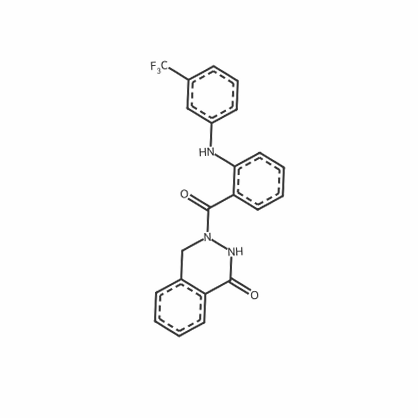 O=C1NN(C(=O)c2ccccc2Nc2cccc(C(F)(F)F)c2)Cc2ccccc21